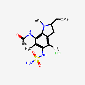 CCCN1c2c(c(C)c(NS(N)(=O)=O)c(C)c2NC(=O)C(C)(C)C)CC1COC.Cl